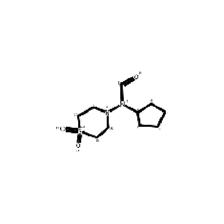 O=CN(C1CCCC1)N1CCS(=O)(=O)CC1